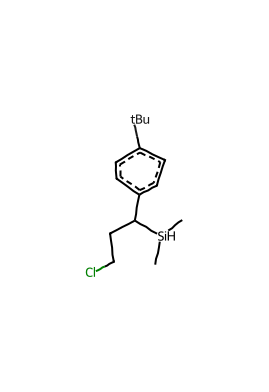 C[SiH](C)C(CCCl)c1ccc(C(C)(C)C)cc1